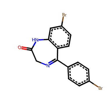 O=C1CN=C(c2ccc(Br)cc2)c2ccc(Br)cc2N1